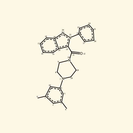 Cc1cc(C)cc(N2CCN(C(=O)c3c4ccccc4nn3-c3ccccc3)CC2)c1